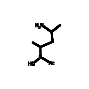 CC(=O)N(O)C(C)CC(C)N